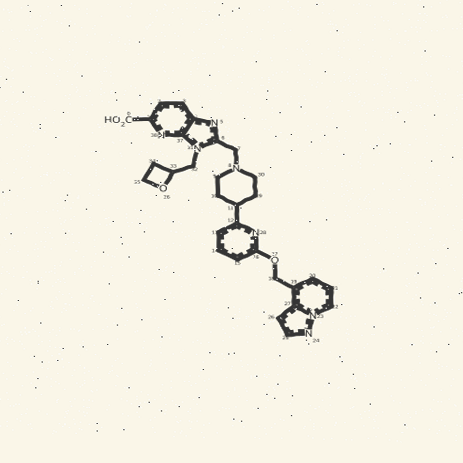 O=C(O)c1ccc2nc(CN3CCC(c4cccc(OCc5cccn6nccc56)n4)CC3)n(CC3CCO3)c2n1